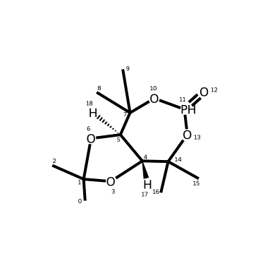 CC1(C)O[C@@H]2[C@@H](O1)C(C)(C)O[PH](=O)OC2(C)C